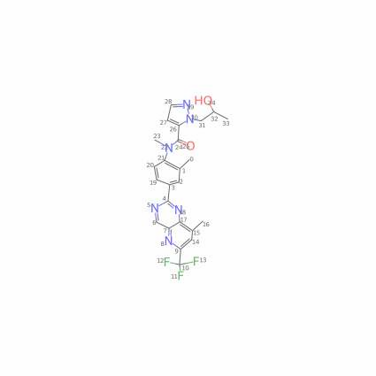 Cc1cc(-c2ncc3nc(C(F)(F)F)cc(C)c3n2)ccc1N(C)C(=O)c1ccnn1CC(C)O